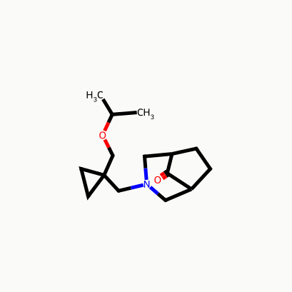 CC(C)OCC1(CN2CC3CCC(C2)C3=O)CC1